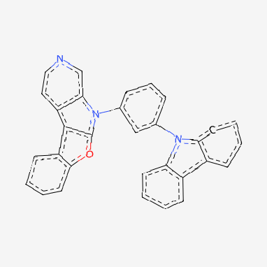 c1cc(-n2c3ccccc3c3ccccc32)cc(-n2c3cnccc3c3c4ccccc4oc32)c1